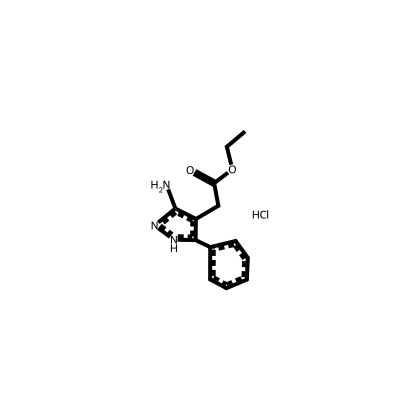 CCOC(=O)Cc1c(N)n[nH]c1-c1ccccc1.Cl